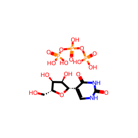 O=P(O)(O)OP(=O)(O)OP(=O)(O)O.O=c1[nH]cc([C@@H]2O[C@H](CO)[C@@H](O)[C@H]2O)c(=O)[nH]1